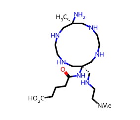 CNCCNC[C@]1(NC(=O)CCCC(=O)O)CNCCNC[C@@](C)(N)CNCCNC1